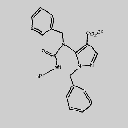 CCCNC(=O)N(Cc1ccccc1)c1c(C(=O)OCC)cnn1Cc1ccccc1